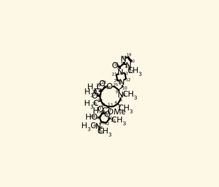 CO[C@]1(C)C[C@@H](C)CN(C)[C@H](CN2CCN(C(=O)c3nccn3C)CC2)COC(=O)C(C)(C)C(=O)[C@H](C)[C@H]1O[C@@H]1O[C@H](C)C[C@H](N(C)C)[C@H]1O